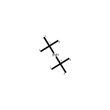 C[C](C)(C)[Pd][C](C)(C)C